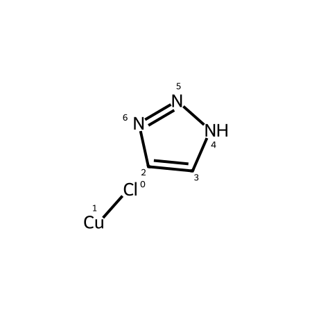 [Cl][Cu].c1c[nH]nn1